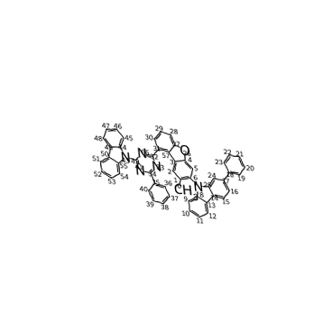 Cc1cc2c(cc1-n1c3ccccc3c3ccc(-c4ccccc4)cc31)oc1cccc(-c3nc(-c4ccccc4)nc(-n4c5ccccc5c5ccccc54)n3)c12